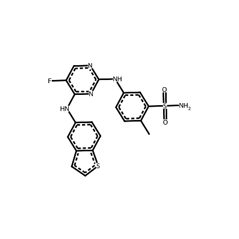 Cc1ccc(Nc2ncc(F)c(Nc3ccc4sccc4c3)n2)cc1S(N)(=O)=O